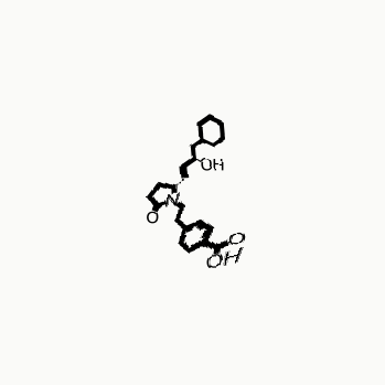 O=C(O)c1ccc(CCN2C(=O)CC[C@@H]2C=C[C@@H](O)CC2CCCCC2)cc1